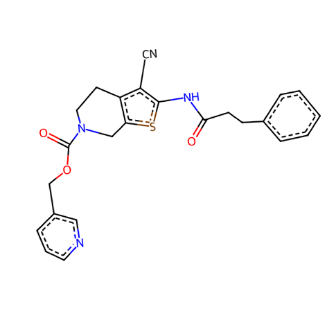 N#Cc1c(NC(=O)CCc2ccccc2)sc2c1CCN(C(=O)OCc1cccnc1)C2